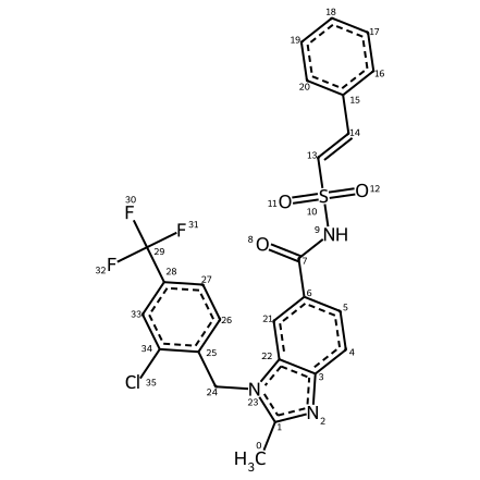 Cc1nc2ccc(C(=O)NS(=O)(=O)/C=C/c3ccccc3)cc2n1Cc1ccc(C(F)(F)F)cc1Cl